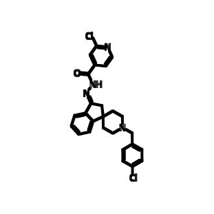 O=C(N/N=C1\CC2(CCN(Cc3ccc(Cl)cc3)CC2)c2ccccc21)c1ccnc(Cl)c1